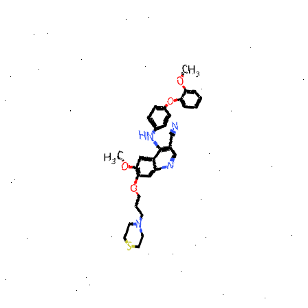 COc1cc2c(Nc3ccc(Oc4ccccc4OC)cc3)c(C#N)cnc2cc1OCCCN1CCSCC1